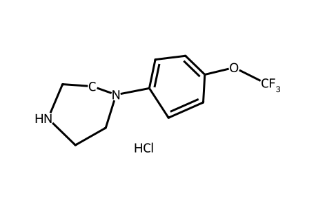 Cl.FC(F)(F)Oc1ccc(N2CCNCC2)cc1